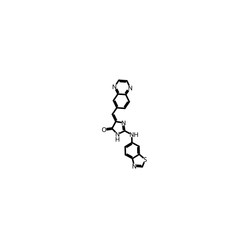 O=C1NC(Nc2ccc3ncsc3c2)=N/C1=C\c1ccc2nccnc2c1